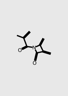 C=C(C)C(=O)N1C(=C)C(=C)C1=O